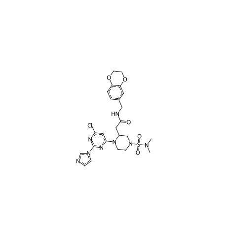 CN(C)S(=O)(=O)N1CCN(c2cc(Cl)nc(-n3ccnc3)n2)C(CC(=O)NCc2ccc3c(c2)OCCO3)C1